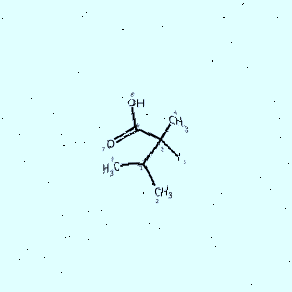 CC(C)C(C)(I)C(=O)O